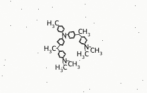 CCN(CC)c1ccc(C(C)c2ccc(N(c3ccc(C)cc3)c3ccc(C(C)c4ccc(N(CC)CC)cc4)cc3)cc2)cc1